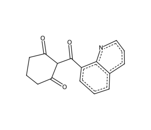 O=C1CCCC(=O)C1C(=O)c1cccc2cccnc12